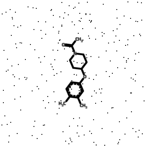 CC(=O)N1CCC(Oc2ccc(C)c(C)c2)CC1